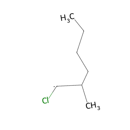 CCCCC(C)[CH]Cl